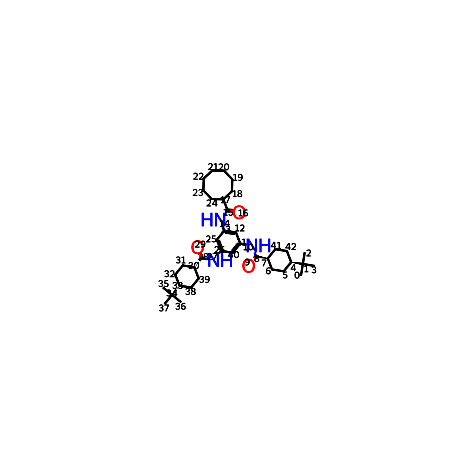 CC(C)(C)[C@H]1CC[C@@H](C(=O)Nc2cc(NC(=O)C3CCCCCCC3)cc(NC(=O)[C@H]3CC[C@@H](C(C)(C)C)CC3)c2)CC1